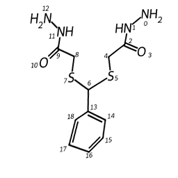 NNC(=O)CSC(SCC(=O)NN)c1ccccc1